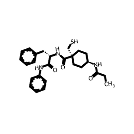 CCC(=O)N[C@H]1CC[C@@](CS)(C(=O)N[C@@H](Cc2ccccc2)C(=O)Nc2ccccc2)CC1